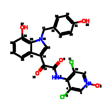 O=C(Nc1c(Cl)c[n+]([O-])cc1Cl)C(=O)c1cn(Cc2ccc(O)cc2)c2c(O)cccc12